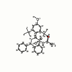 COc1cc(C(C)(C)C)c(N(CC(c2ccccc2)c2ccccc2)S(=O)(=O)OC(N)=O)c(C(C)(C)C)c1